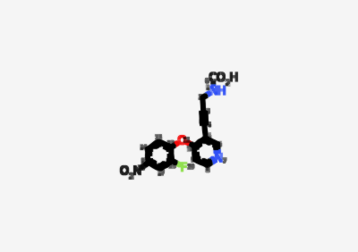 O=C(O)NCC#Cc1cnccc1Oc1ccc([N+](=O)[O-])cc1F